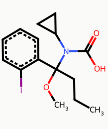 CCCC(OC)(c1ccccc1I)N(C(=O)O)C1CC1